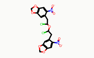 O=[N+]([O-])c1cc2c(cc1CC(Cl)OC(Cl)Cc1cc3c(cc1[N+](=O)[O-])OCO3)OCO2